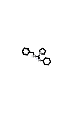 c1ccc(CN/C(=N/C2CCCCC2)N2CCCC2)cc1